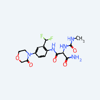 CNC(=O)N[C@@H](C(N)=O)C(=O)Nc1ccc(N2CCOCC2=O)cc1C(F)F